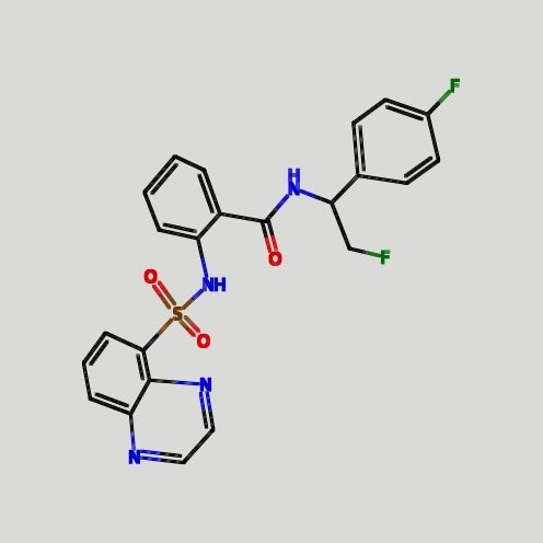 O=C(NC(CF)c1ccc(F)cc1)c1ccccc1NS(=O)(=O)c1cccc2nccnc12